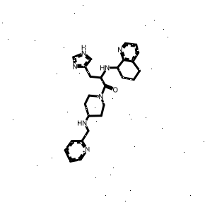 O=C(C(Cc1c[nH]cn1)NC1CCCc2cccnc21)N1CCC(NCc2ccccn2)CC1